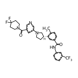 Cc1ccc(C(=O)Nc2cccc(C(F)(F)F)c2)cc1[C@@H]1CCN(c2cncc(C(=O)N3CCC(F)(F)CC3)c2)C1